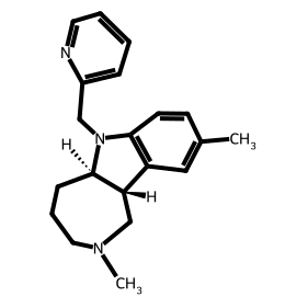 Cc1ccc2c(c1)[C@@H]1CN(C)CCC[C@H]1N2Cc1ccccn1